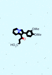 COc1ccc(-c2cn3ccccc3c2C(=O)CCC(=O)O)cc1OC